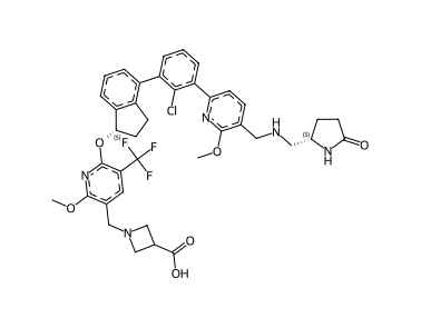 COc1nc(-c2cccc(-c3cccc4c3CC[C@@H]4Oc3nc(OC)c(CN4CC(C(=O)O)C4)cc3C(F)(F)F)c2Cl)ccc1CNC[C@@H]1CCC(=O)N1